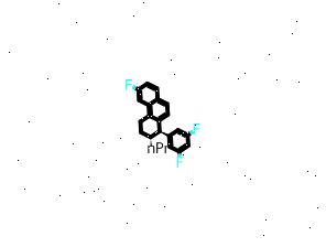 CCC[C@@H]1CCc2c(ccc3ccc(F)cc23)[C@H]1c1cc(F)cc(F)c1